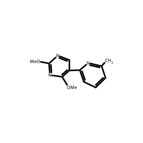 COc1ncc(-c2cccc(C)n2)c(OC)n1